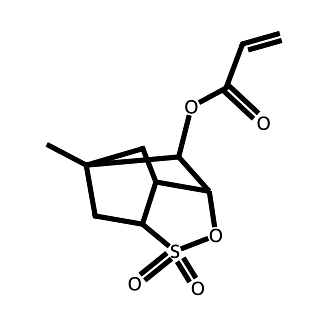 C=CC(=O)OC1C2OS(=O)(=O)C3CC1(C)CC23